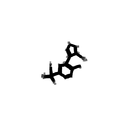 Cc1ccc(C(F)(F)C(F)(F)F)cc1C1=C[N]N=C1C(F)(F)F